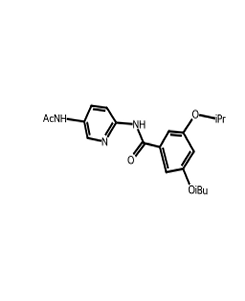 CC(=O)Nc1ccc(NC(=O)c2cc(OCC(C)C)cc(OC(C)C)c2)nc1